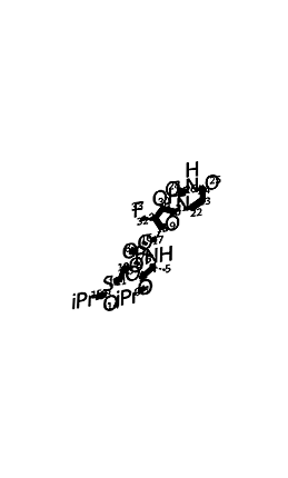 CC(C)OC(=O)[C@@H](C)N[P@](=O)(OCCSC(=O)C(C)C)OC[C@H]1O[C@@H](n2ccc(=O)[nH]c2=O)[C@H](O)[C@@H]1CF